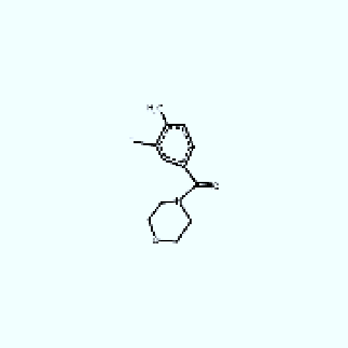 Cc1ccc(C(=O)N2CCOCC2)cc1F